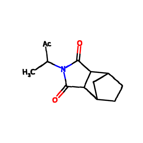 CC(=O)C(C)N1C(=O)C2C3CCC(C3)C2C1=O